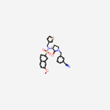 COc1ccc2ccc(S(=O)(=O)N(Cc3ccsc3)[C@H]3CCN(Cc4cccc(C#N)c4)C3=O)cc2c1